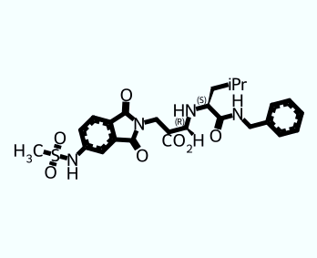 CC(C)C[C@H](N[C@H](CCN1C(=O)c2ccc(NS(C)(=O)=O)cc2C1=O)C(=O)O)C(=O)NCc1ccccc1